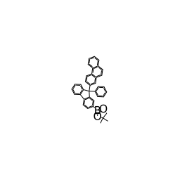 CC1(C)COB(c2ccc3c(c2)C(c2ccccc2)(c2ccc4c(ccc5ccccc54)c2)c2ccccc2-3)O1